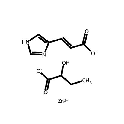 CCC(O)C(=O)[O-].O=C([O-])C=Cc1c[nH]cn1.[Zn+2]